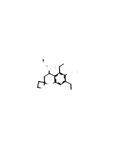 CCc1cc2c(c(CC)c1O)C(NOC)CC1(CCO1)O2